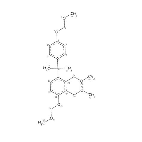 COCOc1ccc(C(C)(C)c2ccc(OCOC)c(COC)c2COC)cc1